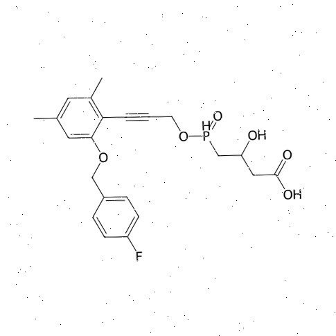 Cc1cc(C)c(C#CCO[PH](=O)CC(O)CC(=O)O)c(OCc2ccc(F)cc2)c1